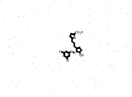 O=C(O)c1ccc(CCCC2=CC[C@@H](O)[C@@H]2COc2cc(Cl)cc(Cl)c2)s1